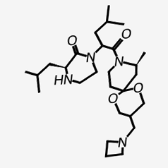 CC(C)CC(C(=O)N1CCC2(C[C@@H]1C)OCC(CN1CCC1)CO2)N1CCN[C@@H](CC(C)C)C1=O